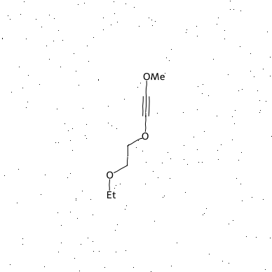 CCOCCOC#COC